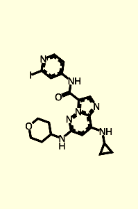 O=C(Nc1ccnc(I)c1)c1cnc2c(NC3CC3)cc(NC3CCOCC3)nn12